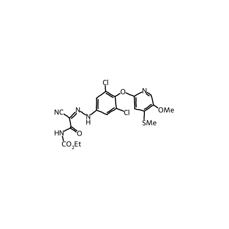 CCOC(=O)NC(=O)/C(C#N)=N\Nc1cc(Cl)c(Oc2cc(SC)c(OC)cn2)c(Cl)c1